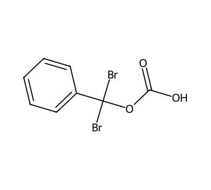 O=C(O)OC(Br)(Br)c1ccccc1